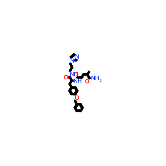 CC(C[CH]C(=O)NC(Cc1ccc(OCc2ccccc2)cc1)C(=O)NCCCn1ccnc1)C(N)=O